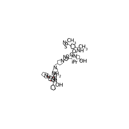 Cc1ncsc1-c1ccc([C@H](C)NC(=O)[C@@H]2C[C@@H](O)CN2C(=O)[C@@H](c2cc(N3CCC(CN4CCC(Oc5cc(N6C7CCC6CN(c6cc(-c8ccccc8O)nnc6N)C7)ccn5)CC4)CC3)no2)C(C)C)cc1